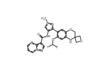 Cn1cc(NC(=O)c2cnn3cccnc23)c(-c2cc3c(cc2OC(F)F)NC2(COC2)CO3)n1